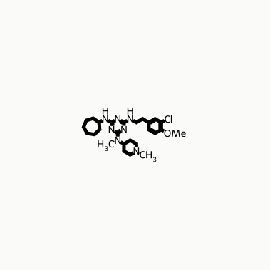 COc1ccc(CCNc2nc(NC3CCCCCC3)nc(N(C)C3CCN(C)CC3)n2)cc1Cl